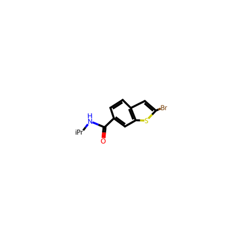 CC(C)NC(=O)c1ccc2cc(Br)sc2c1